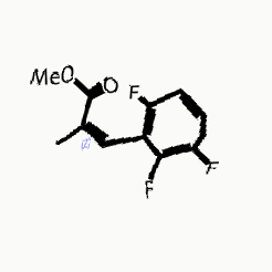 COC(=O)/C(C)=C\c1c(F)ccc(F)c1F